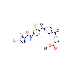 Cn1c(Br)cnc1C(=O)Nc1ccc(C(=O)N2CCN(C(=O)[C@H]3CCN(C(=O)OC(C)(C)C)C3)CC2)c(Cl)c1